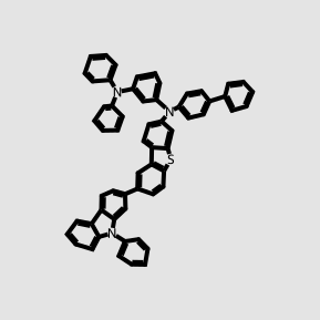 c1ccc(-c2ccc(N(c3cccc(N(c4ccccc4)c4ccccc4)c3)c3ccc4c(c3)sc3ccc(-c5ccc6c7ccccc7n(-c7ccccc7)c6c5)cc34)cc2)cc1